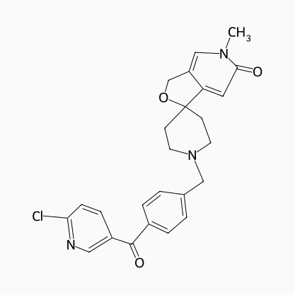 Cn1cc2c(cc1=O)C1(CCN(Cc3ccc(C(=O)c4ccc(Cl)nc4)cc3)CC1)OC2